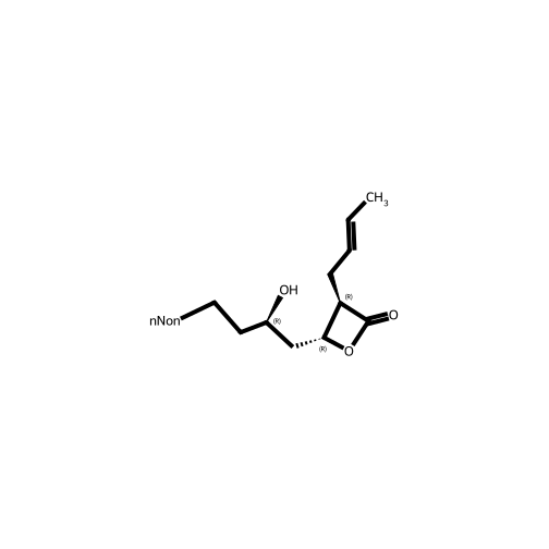 CC=CC[C@H]1C(=O)O[C@@H]1C[C@H](O)CCCCCCCCCCC